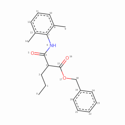 CCCC(C(=O)Nc1c(C)cccc1C)C(=O)OCc1ccccc1